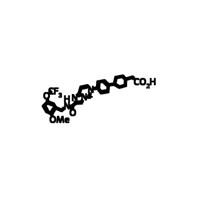 COc1ccc(OC(F)(F)F)cc1CNC(=O)C1=C[N+]2CN(c3ccc(C4CCC(CC(=O)O)CC4)cc3)C=CC2=N1